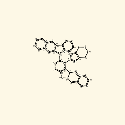 C1=Cc2nc(-c3c(-n4c5ccccc5c5cc6ccccc6cc54)ccc4c3C3C=c5ccccc5=CC3S4)sc2CC1